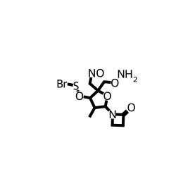 CC1C(N2CCC2=O)OC(CN=O)(CON)C1OSBr